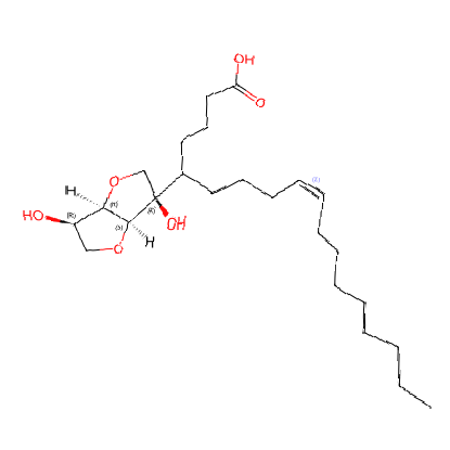 CCCCCCCC/C=C\CCCC(CCCC(=O)O)[C@@]1(O)CO[C@@H]2[C@H](O)CO[C@@H]21